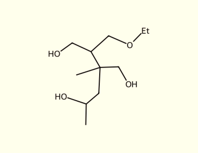 CCOCC(CO)C(C)(CO)CC(C)O